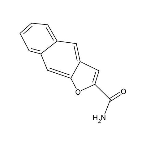 NC(=O)c1cc2cc3ccccc3cc2o1